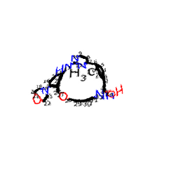 Cc1cc2ccc1-c1ccnc(n1)Nc1ccc(N3CCOCC3)c(c1)COCCCCNC2O